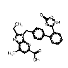 CCc1nc2c(C)cc(C(=O)O)nc2n1Cc1ccc(-c2ccccc2-c2nc(=O)o[nH]2)cc1